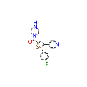 O=C(c1cc(-c2ccncc2)c(-c2ccc(F)cc2)s1)N1CCNCC1